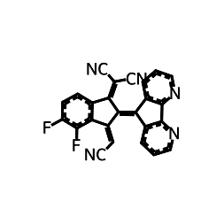 N#C/C=C1/C(=C2c3cccnc3-c3ncccc32)C(=C(C#N)C#N)c2ccc(F)c(F)c21